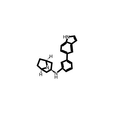 CN1[C@@H]2CC[C@H]1C[C@@H](Nc1cccc(-c3ccc4[nH]ccc4c3)c1)C2